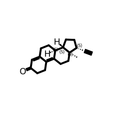 C#C[C@H]1CC[C@H]2[C@@H]3CCC4=CC(=O)CCC4=C3CC[C@]12C